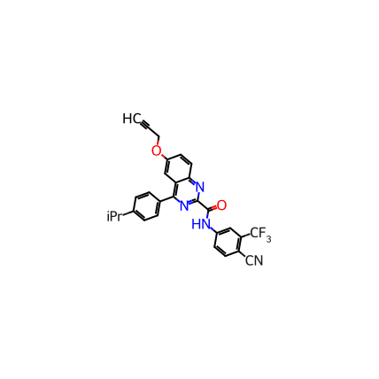 C#CCOc1ccc2nc(C(=O)Nc3ccc(C#N)c(C(F)(F)F)c3)nc(-c3ccc(C(C)C)cc3)c2c1